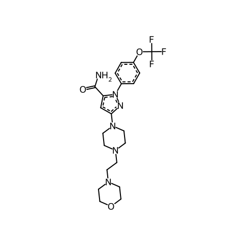 NC(=O)c1cc(N2CCN(CCN3CCOCC3)CC2)nn1-c1ccc(OC(F)(F)F)cc1